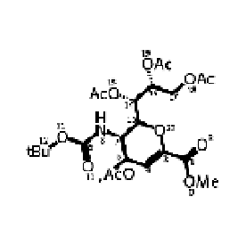 COC(=O)C1=CC(OC(C)=O)[C@@H](NC(=O)OC(C)(C)C)C([C@H](OC(C)=O)[C@@H](COC(C)=O)OC(C)=O)O1